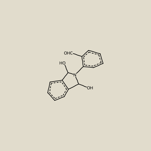 O=Cc1ccccc1N1C(O)c2ccccc2C1O